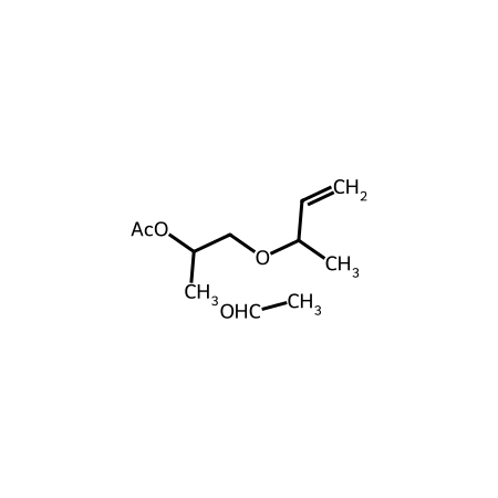 C=CC(C)OCC(C)OC(C)=O.CC=O